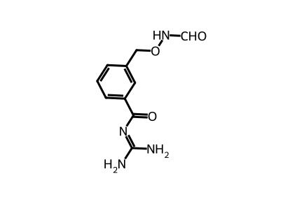 NC(N)=NC(=O)c1cccc(CONC=O)c1